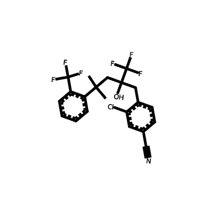 CC(C)(CC(O)(Cc1ccc(C#N)cc1Cl)C(F)(F)F)c1ccccc1C(F)(F)F